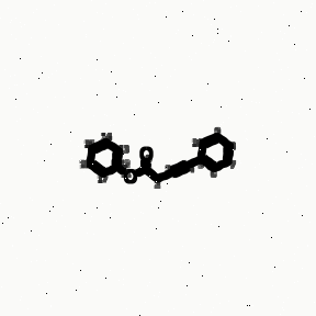 O=C(CC#Cc1ccccc1)Oc1ccccc1